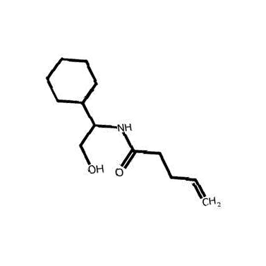 C=CCCC(=O)NC(CO)C1CCCCC1